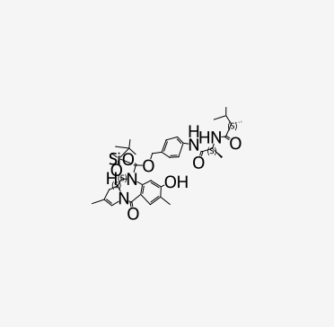 CC1=CN2C(=O)c3cc(C)c(O)cc3N(C(=O)OCc3ccc(NC(=O)[C@H](C)NC(=O)[C@@H](C)C(C)C)cc3)[C@@H](O[Si](C)(C)C(C)(C)C)[C@@H]2C1